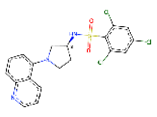 O=S(=O)(N[C@H]1CCN(c2cccc3ncccc23)C1)c1c(Cl)cc(Cl)cc1Cl